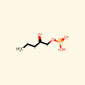 CCCC(=O)CO[PH](=O)O